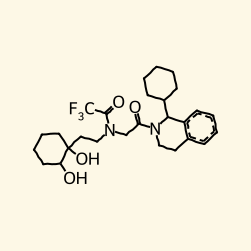 O=C(CN(CCC1(O)CCCCC1O)C(=O)C(F)(F)F)N1CCc2ccccc2C1C1CCCCC1